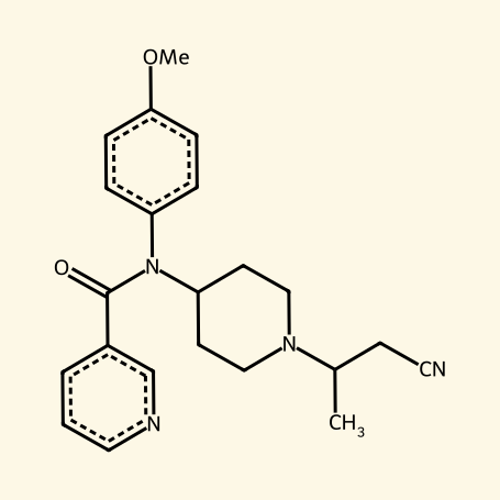 COc1ccc(N(C(=O)c2cccnc2)C2CCN(C(C)CC#N)CC2)cc1